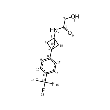 O=C(CO)NC12CC(c3ccc(C(F)(F)F)cc3)(C1)C2